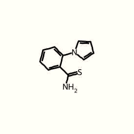 NC(=S)c1ccccc1-n1cccc1